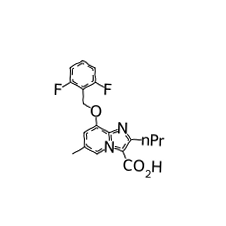 CCCc1nc2c(OCc3c(F)cccc3F)cc(C)cn2c1C(=O)O